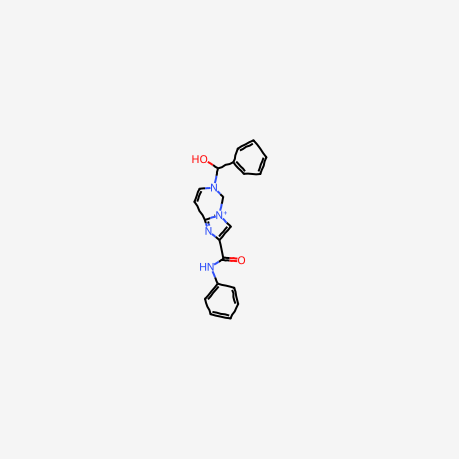 O=C(Nc1ccccc1)C1=C[N+]2CN(C(O)c3ccccc3)C=CC2=N1